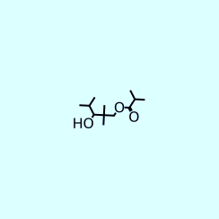 CC(C)C(=O)OCC(C)(C)C(O)C(C)C